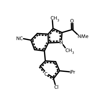 CNC(=O)c1c(C)c2cc(C#N)cc(-c3ccc(Cl)c(C(C)C)c3)c2n1C